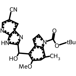 COc1cc(C)c2c(ccn2C(=O)OC(C)(C)C)c1C(O)c1nc2cc(C#N)cnc2[nH]1